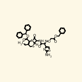 C=CC1=C(C(=O)OC(c2ccccc2)c2ccccc2)N2C(=O)C(NC(=O)C(=NOCC(=O)OCc3ccccc3)c3csc(N)n3)[C@@H]2SC1